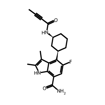 CC#CC(=O)N[C@H]1CCC[C@@H](c2c(F)cc(C(N)=O)c3[nH]c(C)c(C)c23)C1